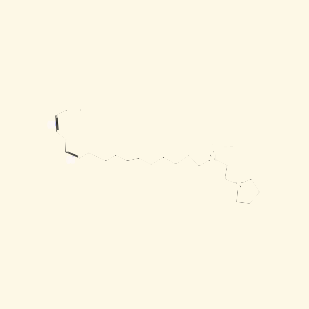 CCCCC/C=C\C/C=C\CCCCCCCCCCN(CCCCCCCCCC)CCN1CCCC1